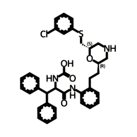 O=C(O)NC(C(=O)Nc1ccccc1CC[C@@H]1CNC[C@@H](CSc2cccc(Cl)c2)O1)C(c1ccccc1)c1ccccc1